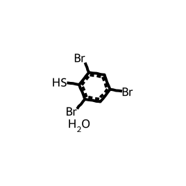 O.Sc1c(Br)cc(Br)cc1Br